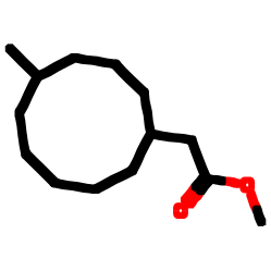 COC(=O)CC1CCCCCC(C)CCC1